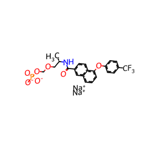 C[C@H](COCOP(=O)([O-])[O-])NC(=O)c1ccc2c(Oc3ccc(C(F)(F)F)cc3)cccc2c1.[Na+].[Na+]